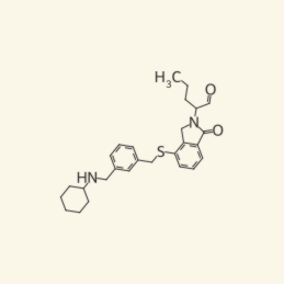 CCCC(C=O)N1Cc2c(SCc3cccc(CNC4CCCCC4)c3)cccc2C1=O